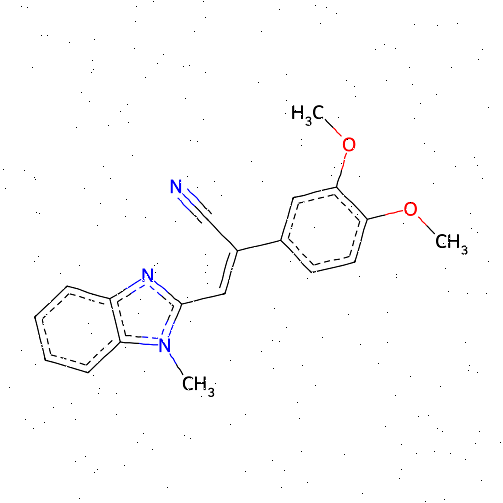 COc1ccc(/C(C#N)=C/c2nc3ccccc3n2C)cc1OC